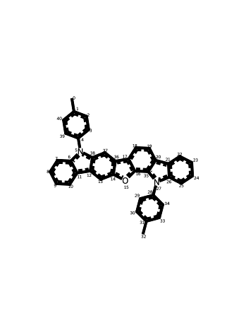 Cc1ccc(-n2c3ccccc3c3cc4oc5c(ccc6c7ccccc7n(-c7ccc(C)cc7)c65)c4cc32)cc1